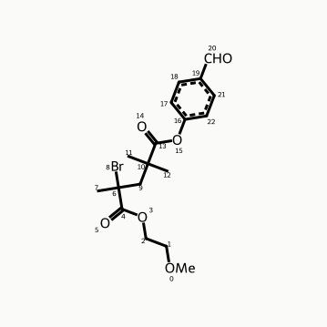 COCCOC(=O)C(C)(Br)CC(C)(C)C(=O)Oc1ccc(C=O)cc1